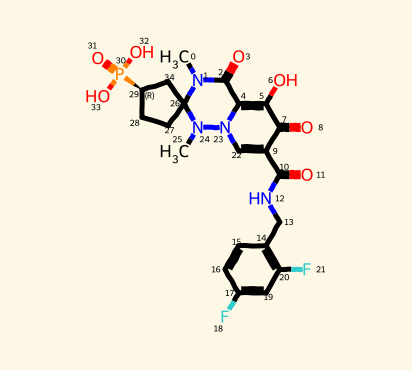 CN1C(=O)c2c(O)c(=O)c(C(=O)NCc3ccc(F)cc3F)cn2N(C)C12CC[C@@H](P(=O)(O)O)C2